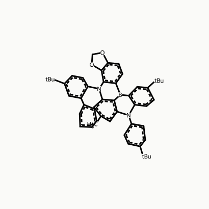 Cc1cc2c3c(c1)N(c1ccc(C(C)(C)C)cc1-c1ccccc1)c1c(ccc4c1OCO4)B3c1cc(C(C)(C)C)ccc1N2c1ccc(C(C)(C)C)cc1